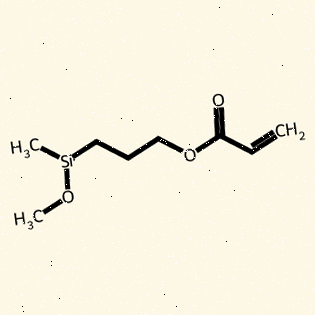 C=CC(=O)OCCC[Si](C)OC